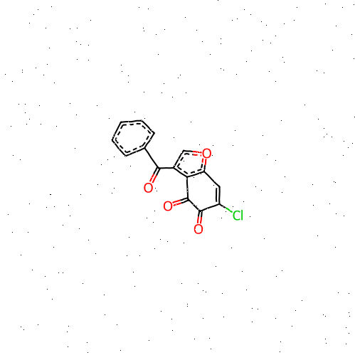 O=C1C(=O)c2c(C(=O)c3ccccc3)coc2C=C1Cl